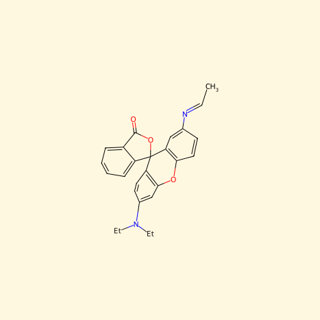 CC=Nc1ccc2c(c1)C1(OC(=O)c3ccccc31)c1ccc(N(CC)CC)cc1O2